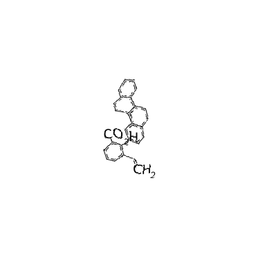 C=Cc1cccc(C(=O)O)c1-c1ccc2ccc3c4ccccc4ccc3c2c1